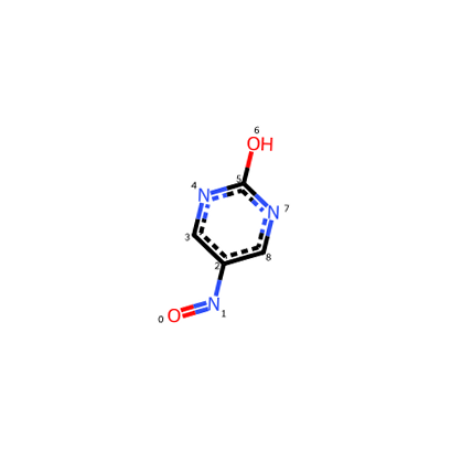 O=Nc1cnc(O)nc1